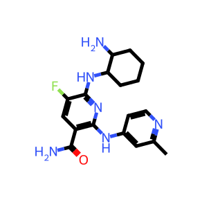 Cc1cc(Nc2nc(NC3CCCCC3N)c(F)cc2C(N)=O)ccn1